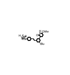 COc1ccc(-c2cc(C=Cc3ccc(NS(C)(=O)=O)cc3)cc(C(C)(C)C)c2)c(=O)[nH]1